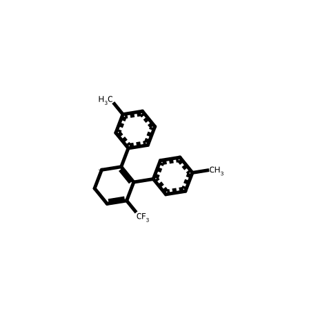 Cc1ccc(C2=C(c3cccc(C)c3)[CH]CC=C2C(F)(F)F)cc1